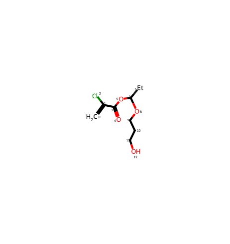 C=C(Cl)C(=O)OC(CC)OCCCO